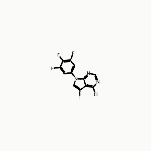 Fc1cc(-n2cc(I)c3c(Cl)ncnc32)cc(F)c1F